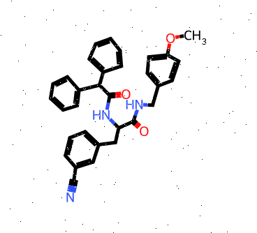 COc1ccc(CNC(=O)C(Cc2cccc(C#N)c2)NC(=O)C(c2ccccc2)c2ccccc2)cc1